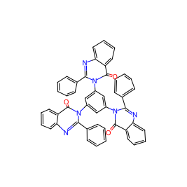 O=c1c2ccccc2nc(-c2ccccc2)n1-c1cc(-n2c(-c3ccccc3)nc3ccccc3c2=O)cc(-n2c(-c3ccccc3)nc3ccccc3c2=O)c1